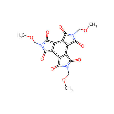 COCn1c(=O)c2c3c(=O)n(COC)c(=O)c3c3c(=O)n(COC)c(=O)c3c2c1=O